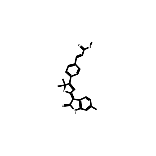 COC(=O)C=Cc1ccc(C2=CC(=C3C(=O)Nc4cc(F)ccc43)OC2(C)C)cc1